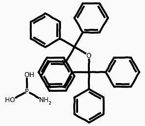 NP(O)O.c1ccc(C(OC(c2ccccc2)(c2ccccc2)c2ccccc2)(c2ccccc2)c2ccccc2)cc1